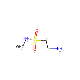 NCCS(=O)(=O)NC=O